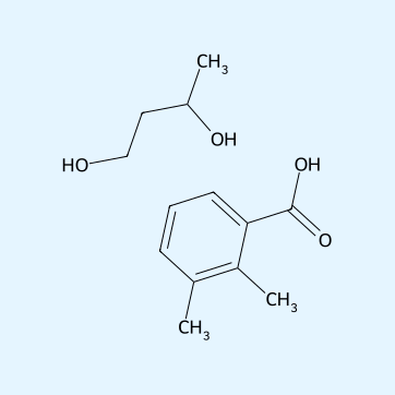 CC(O)CCO.Cc1cccc(C(=O)O)c1C